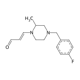 CC1CN(Cc2ccc(F)cc2)CCN1C=CC=O